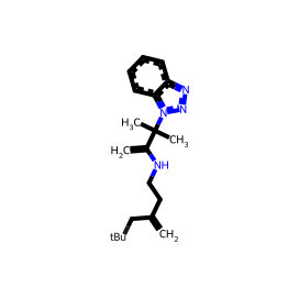 C=C(CCNC(=C)C(C)(C)n1nnc2ccccc21)CC(C)(C)C